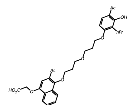 CCCc1c(OCCCOCCCOc2c(C(C)=O)cc(OCC(=O)O)c3ccccc23)ccc(C(C)=O)c1O